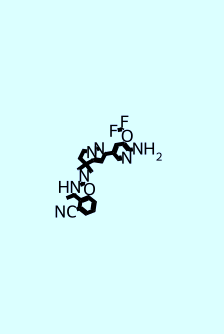 CC(NC(=O)N1CC2(CCn3nc(-c4cnc(N)c(OC(F)F)c4)cc32)C1)c1ccccc1C#N